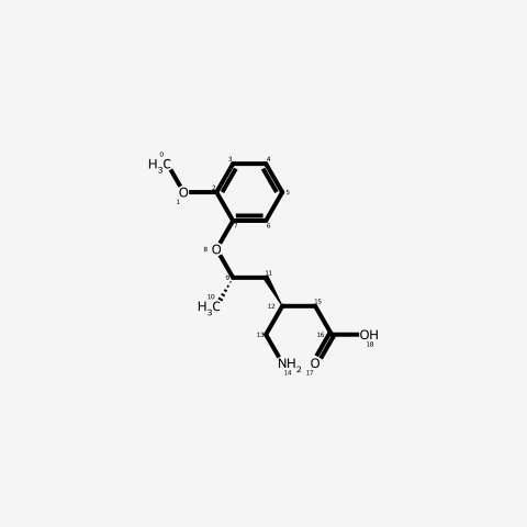 COc1ccccc1O[C@@H](C)C[C@H](CN)CC(=O)O